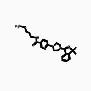 COCCCNC(=O)c1ccc(N2CCN(C(=O)c3ccccc3C(F)(F)F)CC2)nc1